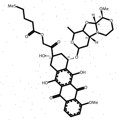 COc1cccc2c1C(=O)c1c(O)c3c(c(O)c1C2=O)C[C@@](O)(C(=O)COC(=O)CCCSC)C[C@@H]3OC1C[C@@H]2C(O[C@@H]3[C@@H](OC)OCCN23)C(C)O1